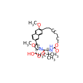 COc1cc2ccc3cc2cc1CCCCCCCOC(=O)N[C@@H](C(C)(C)C)C(=O)N1C[C@@]3(OC)C[C@H]1C(=O)O